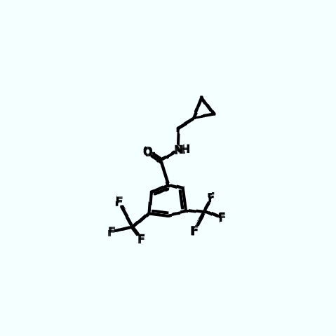 O=C(NCC1CC1)c1cc(C(F)(F)F)cc(C(F)(F)F)c1